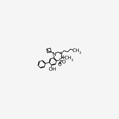 CCCC[C@@H]1CN(C23CC(C2)C3)c2cc(-c3ccccc3)c(O)cc2S(=O)(=O)N1C